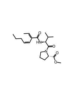 C/C=C(\C=C/CCC)C(=O)N[C@H](C(=O)N1CCC[C@H]1C(=O)OC)C(C)C